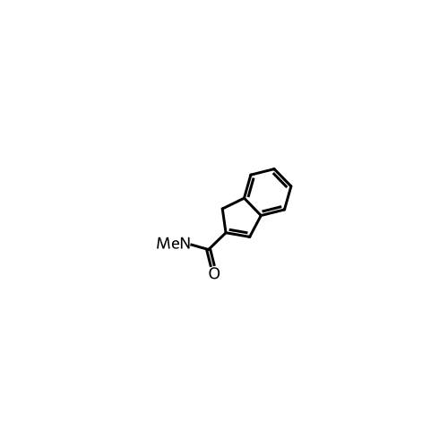 CNC(=O)C1=Cc2ccccc2C1